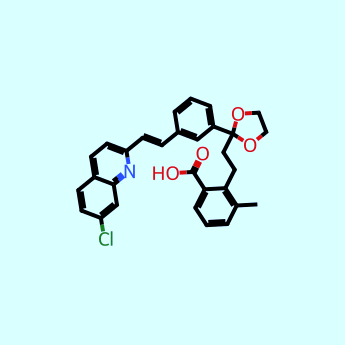 Cc1cccc(C(=O)O)c1CCC1(c2cccc(C=Cc3ccc4ccc(Cl)cc4n3)c2)OCCO1